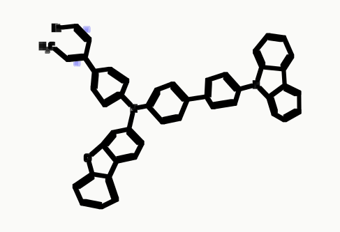 C/C=C(\C=C/CC)c1ccc(N(c2ccc(-c3ccc(-n4c5ccccc5c5ccccc54)cc3)cc2)c2ccc3c(c2)oc2ccccc23)cc1